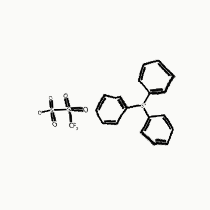 O=S(=O)([O-])S(=O)(=O)C(F)(F)F.c1ccc([S+](c2ccccc2)c2ccccc2)cc1